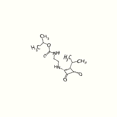 CC(C)OC(=O)NCCNc1c(C(C)C)c(=O)c1=O